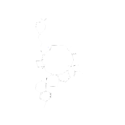 COC(=O)[C@@]1(O)CC(=O)N(C)CC/C=C/[C@H](OCCN2CCS(=O)(=O)CC2)[C@@H]2CC[C@H]2CN2C[C@@]3(CCCc4cc(Cl)ccc43)COc3ccc1cc32